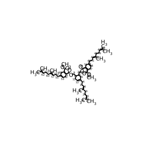 COC(=O)C1=C(C(=O)OCC2CC=C(CC/C=C(\C)CCC=C(C)C)CC2COC(=O)C2=C(C(=O)OC)CC=C(CC/C=C(\C)CCC=C(C)C)C2)CC=C(CC/C=C(\C)CCC=C(C)C)C1